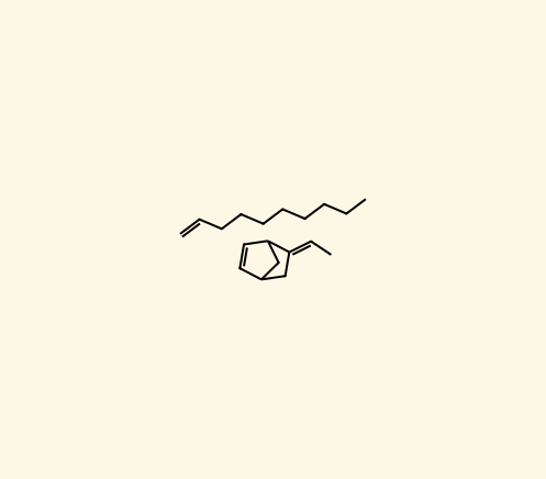 C=CCCCCCCCC.CC=C1CC2C=CC1C2